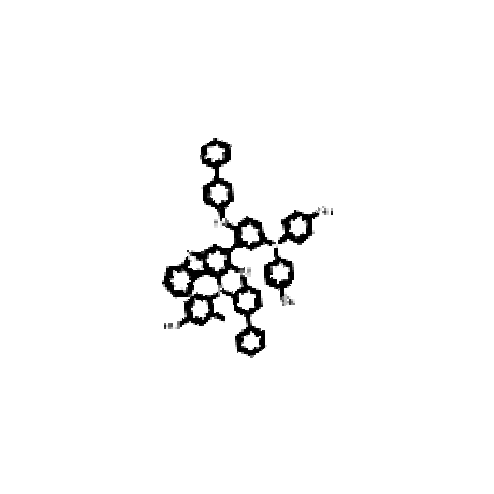 Cc1cc(C(C)(C)C)ccc1N1c2cc(-c3ccccc3)ccc2Bc2c(-c3cc(N(c4ccc(C(C)(C)C)cc4)c4ccc(C(C)(C)C)cc4)ccc3Nc3ccc(-c4ccccc4)cc3)cc3sc4ccccc4c3c21